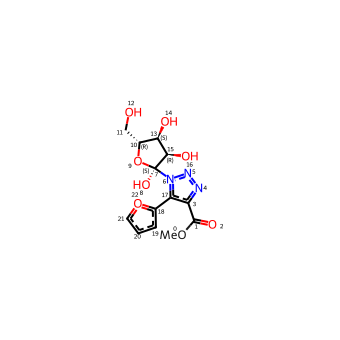 COC(=O)c1nnn([C@@]2(O)O[C@H](CO)[C@@H](O)[C@H]2O)c1-c1ccco1